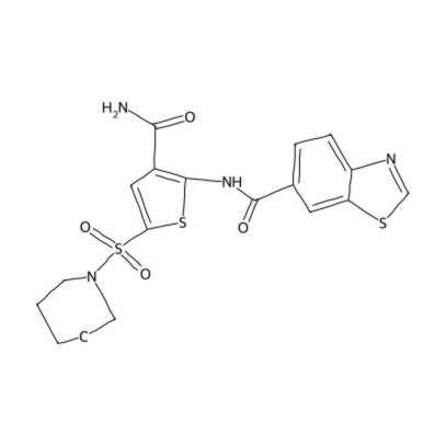 NC(=O)c1cc(S(=O)(=O)N2CCCCC2)sc1NC(=O)c1ccc2ncsc2c1